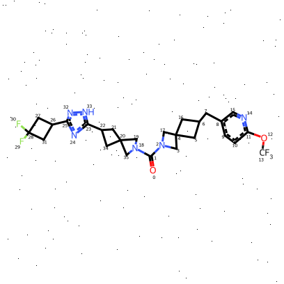 O=C(N1CC2(CC(Cc3ccc(OC(F)(F)F)nc3)C2)C1)N1CC2(CC(c3nc(C4CC(F)(F)C4)n[nH]3)C2)C1